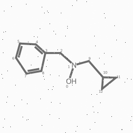 ON(Cc1ccccc1)CC1CC1